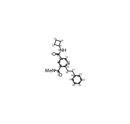 CNC(=O)c1cc(C(=O)NC2CCC2)cnc1CCc1ccccc1